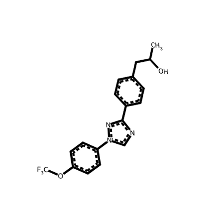 CC(O)Cc1ccc(-c2ncn(-c3ccc(OC(F)(F)F)cc3)n2)cc1